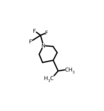 CC(C)C1CCN(C(F)(F)F)CC1